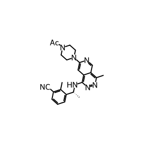 CC(=O)N1CCN(c2cc3c(N[C@H](C)c4cccc(C#N)c4C)nnc(C)c3cn2)CC1